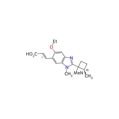 CCOc1cc2nc(C3(NC)CC[C@H]3C)n(C)c2cc1/C=C/C(=O)O